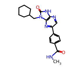 CNC(=O)c1ccc(-c2cnc3[nH]c(=O)n(CC4CCCCC4)c3n2)cc1